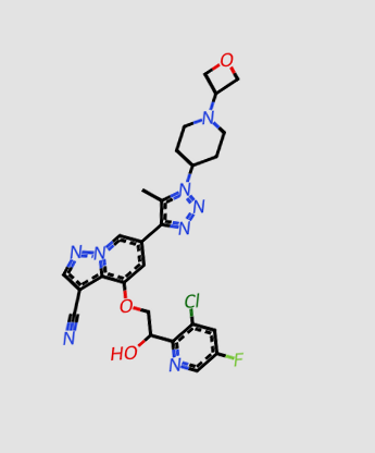 Cc1c(-c2cc(OCC(O)c3ncc(F)cc3Cl)c3c(C#N)cnn3c2)nnn1C1CCN(C2COC2)CC1